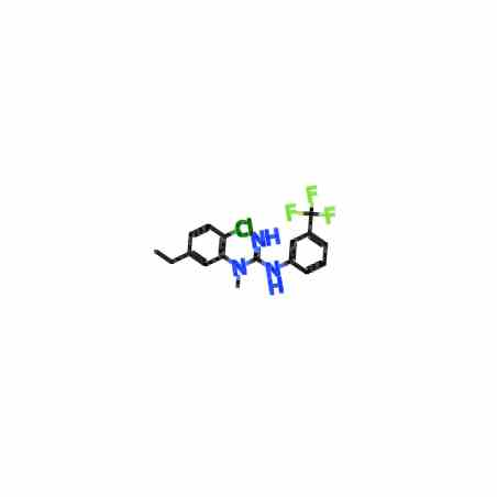 CCc1ccc(Cl)c(N(C)C(=N)Nc2cccc(C(F)(F)F)c2)c1